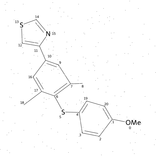 COc1ccc(Sc2c(C)cc(-c3cscn3)cc2C)cc1